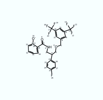 O=C(NCC(COCc1cc(C(F)(F)F)cc(C(F)(F)F)c1)c1ccc(F)cc1)c1cccc[n+]1[O-]